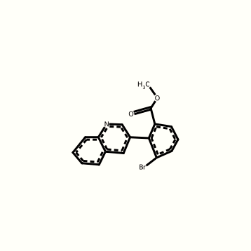 COC(=O)c1cccc(Br)c1-c1cnc2ccccc2c1